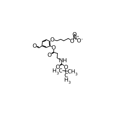 CC(C)(C)OC(=O)NCCC(=O)Oc1cc(C=O)ccc1OCCCCO[N+](=O)[O-]